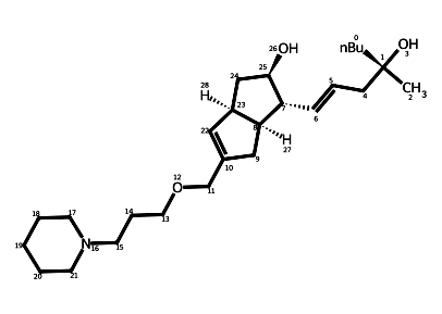 CCCC[C@](C)(O)C/C=C/[C@@H]1[C@H]2CC(COCCCN3CCCCC3)=C[C@H]2C[C@H]1O